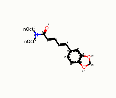 CCCCCCCCN(CCCCCCCC)C(=O)/C=C/C=C/c1ccc2c(c1)OCO2